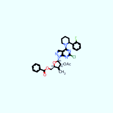 C=C1[C@@H](OC(C)=O)[C@H](n2ncc3c(N4CCCCC4c4ccccc4F)nc(Cl)nc32)O[C@@H]1COC(=O)c1ccccc1